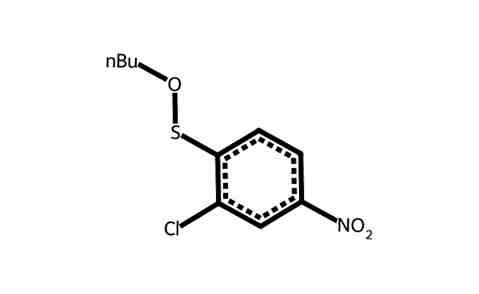 CCCCOSc1ccc([N+](=O)[O-])cc1Cl